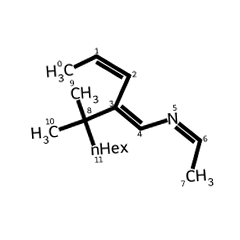 C\C=C/C(=C\N=C/C)C(C)(C)CCCCCC